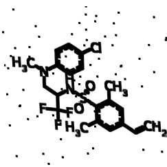 C=Cc1cc(C)c(S(=O)(=O)NC(CN(C)c2ccc(Cl)cc2)C(F)(F)F)c(C)c1